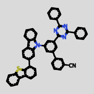 N#Cc1cccc(-c2cc(-c3nc(-c4ccccc4)nc(-c4ccccc4)n3)cc(-n3c4ccccc4c4ccc(-c5cccc6c5sc5ccccc56)cc43)c2)c1